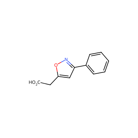 O=C(O)Cc1cc(-c2ccccc2)no1